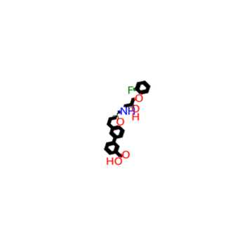 O=C(O)c1cccc(-c2ccc3c(c2)CC[C@H](CNC[C@H](O)COc2ccccc2F)O3)c1